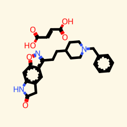 O=C(O)C=CC(=O)O.O=C1Cc2cc3c(CCC4CCN(Cc5ccccc5)CC4)noc3cc2N1